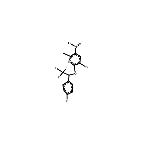 Cc1nc(OC(c2ccc(F)cc2)C(F)(F)F)c(Br)cc1[N+](=O)[O-]